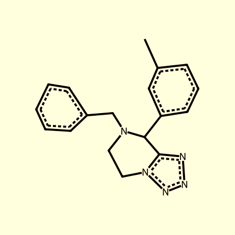 Cc1cccc(C2c3nnnn3CCN2Cc2ccccc2)c1